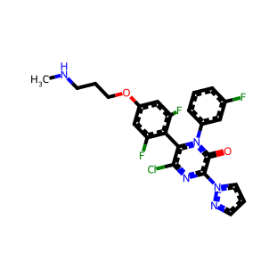 CNCCCOc1cc(F)c(-c2c(Cl)nc(-n3cccn3)c(=O)n2-c2cccc(F)c2)c(F)c1